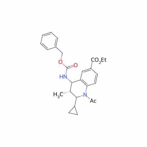 CCOC(=O)c1ccc2c(c1)C(NC(=O)OCc1ccccc1)[C@@H](C)C(C1CC1)N2C(C)=O